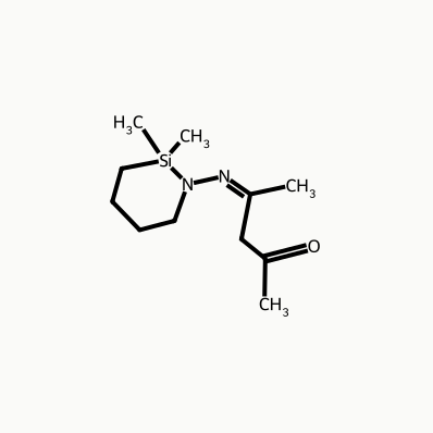 CC(=O)CC(C)=NN1CCCC[Si]1(C)C